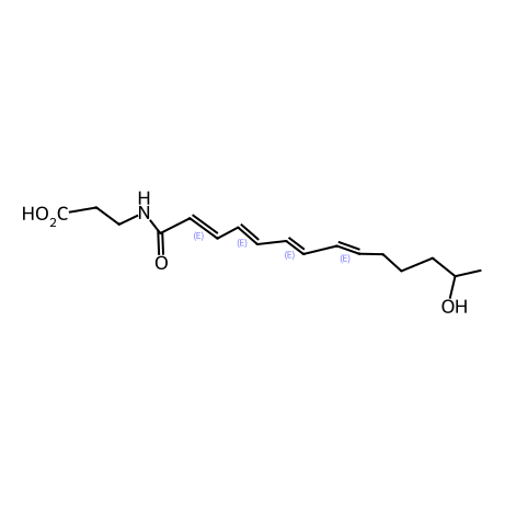 CC(O)CCC/C=C/C=C/C=C/C=C/C(=O)NCCC(=O)O